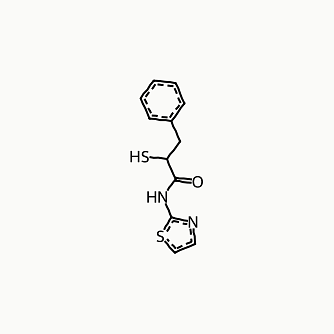 O=C(Nc1nccs1)C(S)Cc1ccccc1